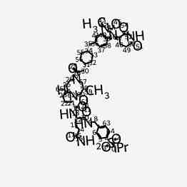 CC(C)S(=O)(=O)c1ccc(CNC(=O)[C@H](CCC(N)=O)NC(=O)[C@@H]2CC[C@@H]3CCN(C(=O)C[C@H]4CC[C@@H](Cc5ccc6c(c5)n(C)c(=O)n6C5CCC(=O)NC5=O)CC4)C[C@H](C)C(=O)N32)cc1